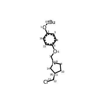 CC(C)(C)Oc1ccc(OCN2CC[C@@H](CCl)C2)cc1